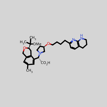 COC(C)(C)[C@H]1Cc2c(cc(C)cc2[C@@H](C(=O)O)N2CC[C@@H](OCCCCc3ccc4c(n3)NCCC4)C2)CO1